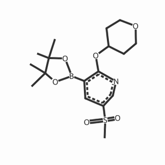 CC1(C)OB(c2cc(S(C)(=O)=O)cnc2OC2CCOCC2)OC1(C)C